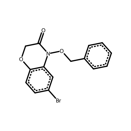 O=C1COc2ccc(Br)cc2N1OCc1ccccc1